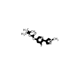 Cn1cc(-c2ncc(OC(=O)OC(C)(C)C)cc2F)cn1